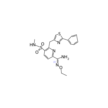 CCO/N=C(\N)c1ccc(S(=O)(=O)NC)c(Cc2csc(-c3ccccc3)n2)n1